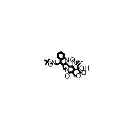 CC[C@@]1(O)C(=O)OCc2c1c([N+](=O)[O-])c1n(c2=O)Cc2c-1nc1ccccc1c2/C=N/OC(C)(C)C